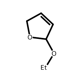 CCOC1C=CCO1